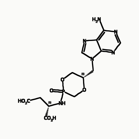 Nc1ncnc2c1ncn2C[C@H]1COP(=O)(N[C@@H](CC(=O)O)C(=O)O)CO1